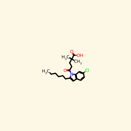 CCCCCCc1cc2ccc(Cl)cc2n1C(=O)CCC(C)(C)C(=O)O